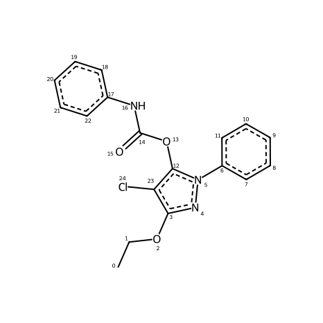 CCOc1nn(-c2ccccc2)c(OC(=O)Nc2ccccc2)c1Cl